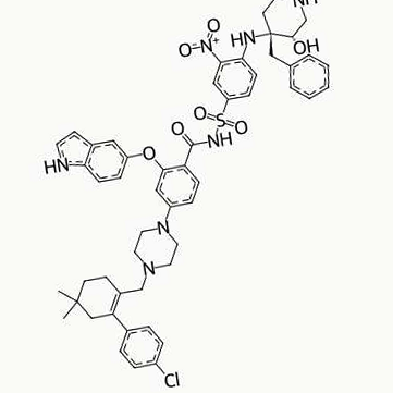 CC1(C)CCC(CN2CCN(c3ccc(C(=O)NS(=O)(=O)c4ccc(N[C@]5(Cc6ccccc6)CCNC[C@@H]5O)c([N+](=O)[O-])c4)c(Oc4ccc5[nH]ccc5c4)c3)CC2)=C(c2ccc(Cl)cc2)C1